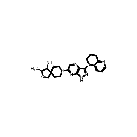 C[C@@H]1OCC2(CCN(c3cnc4c(N5CCCc6ncccc65)n[nH]c4n3)CC2)[C@@H]1N